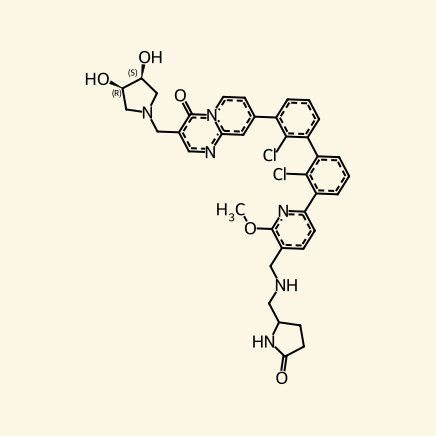 COc1nc(-c2cccc(-c3cccc(-c4ccn5c(=O)c(CN6C[C@@H](O)[C@@H](O)C6)cnc5c4)c3Cl)c2Cl)ccc1CNCC1CCC(=O)N1